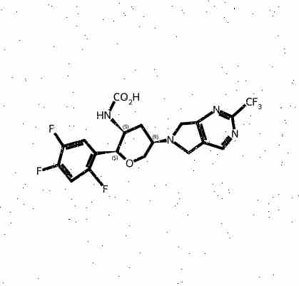 O=C(O)N[C@H]1C[C@@H](N2Cc3cnc(C(F)(F)F)nc3C2)CO[C@H]1c1cc(F)c(F)cc1F